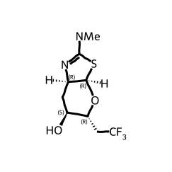 CNC1=N[C@@H]2C[C@H](O)[C@@H](CC(F)(F)F)O[C@@H]2S1